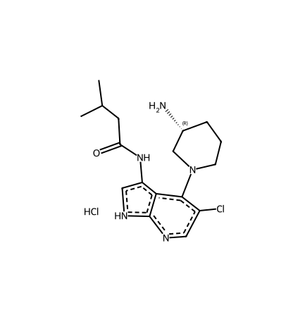 CC(C)CC(=O)Nc1c[nH]c2ncc(Cl)c(N3CCC[C@@H](N)C3)c12.Cl